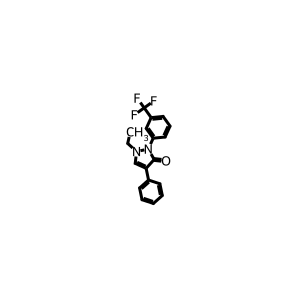 CCn1cc(-c2ccccc2)c(=O)n1-c1cccc(C(F)(F)F)c1